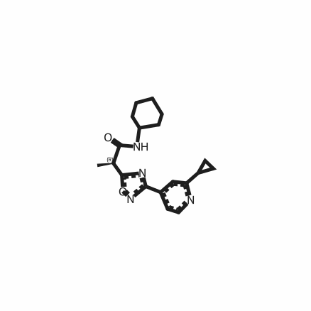 C[C@@H](C(=O)NC1CCCCC1)c1nc(-c2ccnc(C3CC3)c2)no1